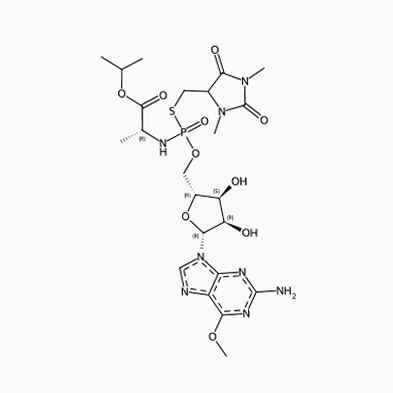 COc1nc(N)nc2c1ncn2[C@@H]1O[C@H](COP(=O)(N[C@H](C)C(=O)OC(C)C)SCC2C(=O)N(C)C(=O)N2C)[C@@H](O)[C@H]1O